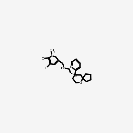 CN1CC(CNCC[C@@]2(c3ccccn3)CCOC3(CCCC3)C2)=CC(F)=C1Cl